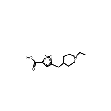 CCN1CCC(Cc2cc(C(=O)O)no2)CC1